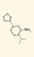 CC(C)c1ccc(-c2cccs2)cc1N